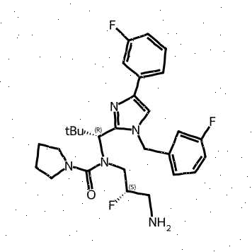 CC(C)(C)[C@H](c1nc(-c2cccc(F)c2)cn1Cc1cccc(F)c1)N(C[C@@H](F)CN)C(=O)N1CCCC1